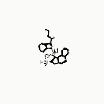 CCCC(C)C1=C[CH]([Zr]([Cl])([Cl])[C]2=C([SiH](C)C)Cc3ccc4ccccc4c32)c2ccccc21